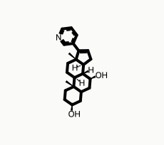 C[C@]12CC[C@H](O)CC1C[C@H](O)[C@@H]1[C@@H]2CC[C@]2(C)C(c3cccnc3)=CC[C@@H]12